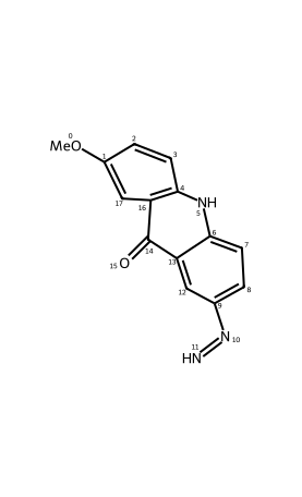 COc1ccc2[nH]c3ccc(N=N)cc3c(=O)c2c1